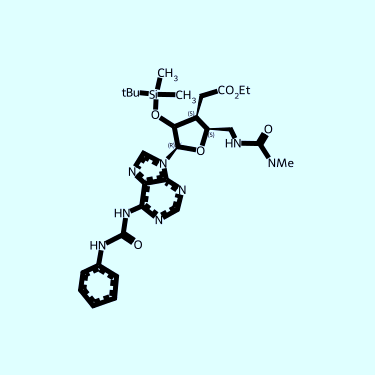 CCOC(=O)C[C@@H]1C(O[Si](C)(C)C(C)(C)C)[C@H](n2cnc3c(NC(=O)Nc4ccccc4)ncnc32)O[C@@H]1CNC(=O)NC